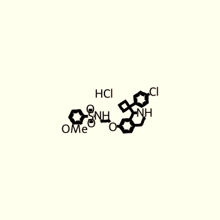 COc1ccccc1S(=O)(=O)NCCOc1ccc2c(c1)C(C1(c3ccc(Cl)cc3)CCC1)NCC2.Cl